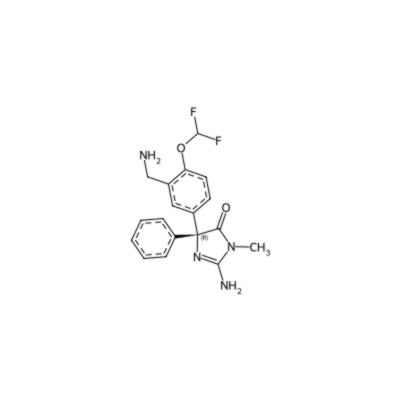 CN1C(=O)[C@@](c2ccccc2)(c2ccc(OC(F)F)c(CN)c2)N=C1N